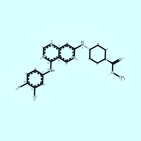 COC(=O)[C@H]1CC[C@H](Nc2cc3ncnc(Nc4ccc(F)c(Cl)c4)c3cn2)CC1